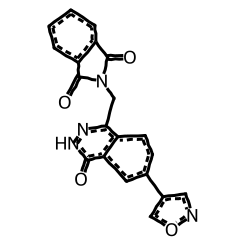 O=C1c2ccccc2C(=O)N1Cc1n[nH]c(=O)c2cc(-c3cnoc3)ccc12